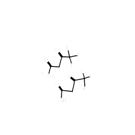 CC(=O)CC(=O)C(F)(F)F.CC(=O)CC(=O)C(F)(F)F.[Cu+2]